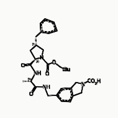 C[C@H](NC(=O)[C@H]1C[C@H](Cc2ccccc2)CN1C(=O)OC(C)(C)C)C(=O)NCc1ccc2c(c1)CN(C(=O)O)C2